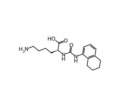 NCCCC[C@H](NC(=O)Nc1cccc2c1CCCC2)C(=O)O